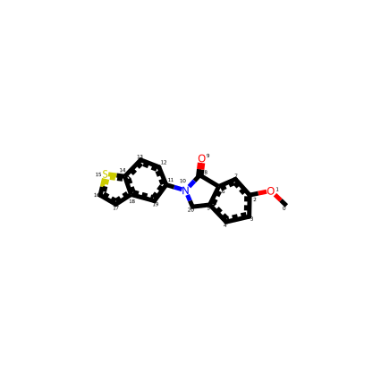 COc1ccc2c(c1)C(=O)N(c1ccc3sccc3c1)C2